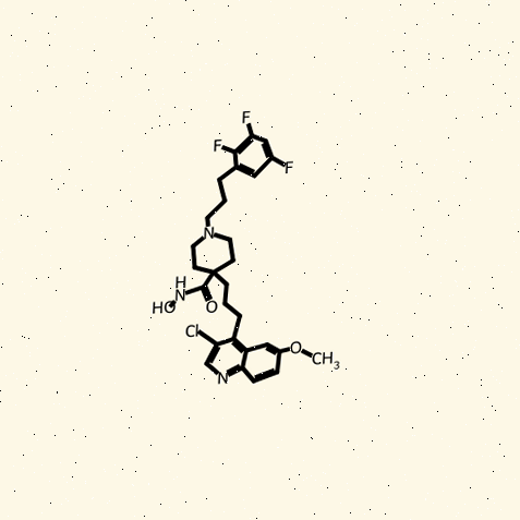 COc1ccc2ncc(Cl)c(CCCC3(C(=O)NO)CCN(CCCc4cc(F)cc(F)c4F)CC3)c2c1